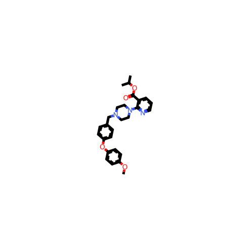 COc1ccc(Oc2ccc(CN3CCN(c4ncccc4C(=O)OC(C)C)CC3)cc2)cc1